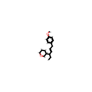 CC[C](C=CCc1ccc(OC)cc1)C1CCCOC1